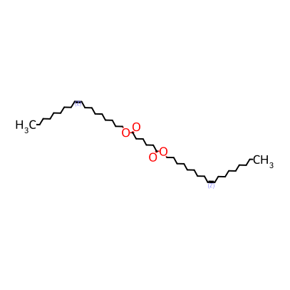 CCCCCCCC/C=C\CCCCCCCCOC(=O)CCCCC(=O)OCCCCCCCC/C=C\CCCCCCCC